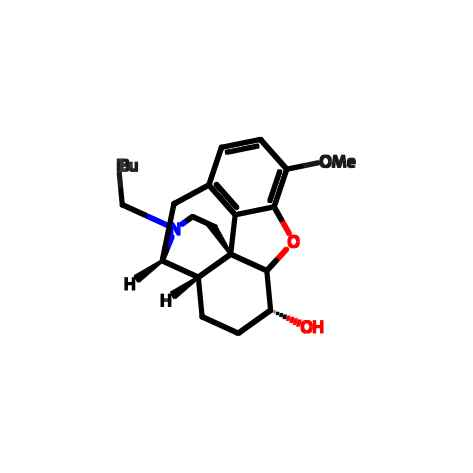 CCC(C)CN1CC[C@@]23c4c5ccc(OC)c4OC2[C@H](O)CC[C@@H]3[C@@H]1C5